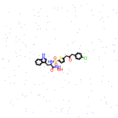 O=C(Cc1ccc(Cl)cc1)Cc1ccc(S(=O)(=O)NC(Cc2c[nH]c3ccccc23)C(=O)NO)s1